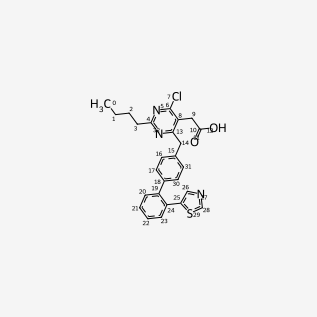 CCCCc1nc(Cl)c(CC(=O)O)c(Cc2ccc(-c3ccccc3-c3cncs3)cc2)n1